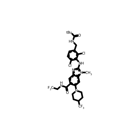 Cn1c(Nc2c(Cl)ccc(CNC(=O)C(C)(C)C)c2Cl)nc2cc(C(=O)NCC(F)(F)F)c(N3CCC(C(F)(F)F)CC3)cc21